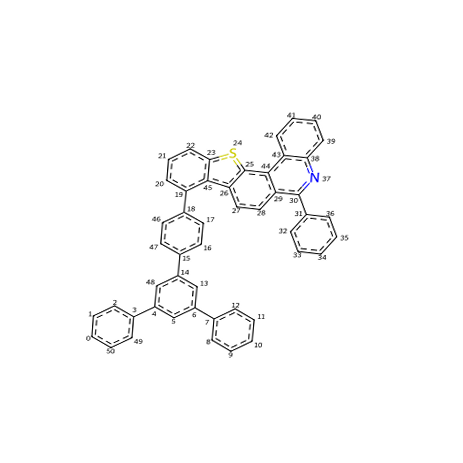 c1ccc(-c2cc(-c3ccccc3)cc(-c3ccc(-c4cccc5sc6c(ccc7c(-c8ccccc8)nc8ccccc8c76)c45)cc3)c2)cc1